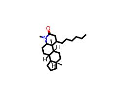 CCCCCCC1CC(=O)N(C)C2CC[C@@H]3[C@@H](CC[C@]4(C)CCC[C@@H]34)[C@@]12C